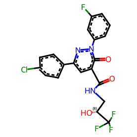 O=C(NC[C@@H](O)C(F)(F)F)c1cc(-c2ccc(Cl)cc2)nn(-c2cccc(F)c2)c1=O